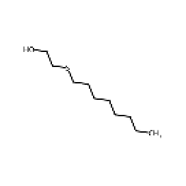 CCCCCCCCSC[CH]O